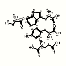 N[C@@H](CCC(=O)O)C(=O)O.N[C@@H](CS)C(=O)O.N[C@@H](Cc1c[nH]c2ccccc12)C(=O)O.N[C@@H](Cc1ccc(O)cc1)C(=O)O